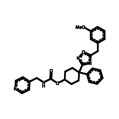 COc1cccc(Cc2nc(C3(c4ccccc4)CCC(OC(=O)NCc4ccncc4)CC3)no2)c1